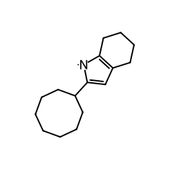 C1=C(C2CCCCCCC2)[N]C2=C1CCCC2